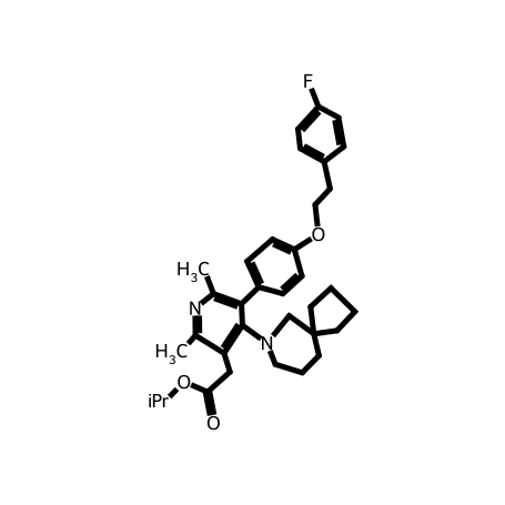 Cc1nc(C)c(-c2ccc(OCCc3ccc(F)cc3)cc2)c(N2CCCC3(CCCC3)C2)c1CC(=O)OC(C)C